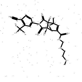 COCCOCOC(=O)C1=CC2(C)OC1[C@@H]1C(=O)N(c3ccc(C#N)c(C(F)(F)F)c3)C(=O)[C@@H]12